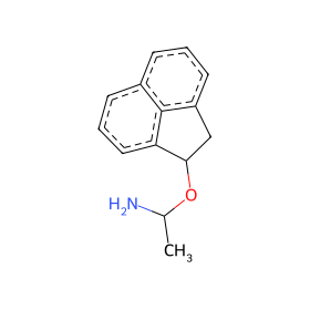 CC(N)OC1Cc2cccc3cccc1c23